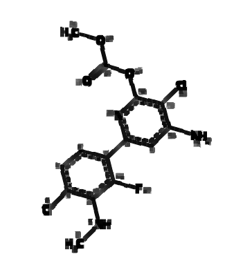 CNc1c(Cl)ccc(-c2cc(N)c(Cl)c(OC(=O)OC)n2)c1F